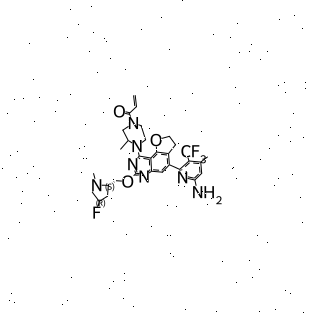 C=CC(=O)N1CCN(c2nc(OC[C@@H]3C[C@@H](F)CN3C)nc3cc(-c4nc(N)cc(C)c4C(F)(F)F)c4c(c23)OCC4)C(C)C1